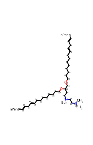 CCCCCC=CCC=CCCCCCCCCOCC(CCN(CC)CCN(C)C)OCCCCCCCCC=CCC=CCCCCC